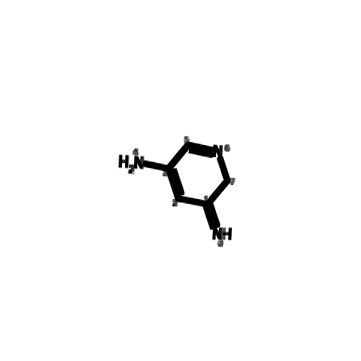 N=C1C=C(N)C=NC1